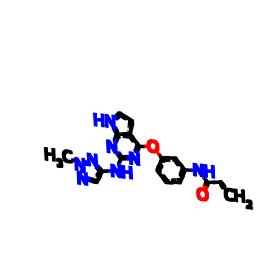 C=CC(=O)Nc1cccc(Oc2nc(Nc3cnn(C)n3)nc3[nH]ccc23)c1